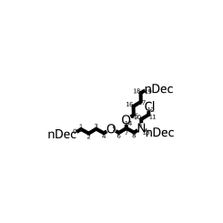 CCCCCCCCCCCCCCOCC(CN(CCCl)CCCCCCCCCC)OCCCCCCCCCCCCCC